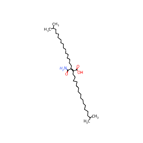 CC(C)CCCCCCCCCCCCCCC/C(C(N)=O)=C(/CCCCCCCCCCCCCCCC(C)C)C(=O)O